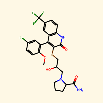 COc1ccc(Cl)cc1-c1c(SCC(O)CN2CCCC2C(N)=O)c(=O)[nH]c2ccc(C(F)(F)F)cc12